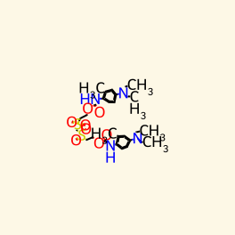 CCN(CC)c1ccc(NC(=O)OCCS(=O)(=O)CS(=O)(=O)CCOC(=O)Nc2ccc(N(CC)CC)cc2C)c(C)c1